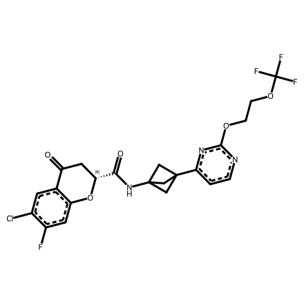 O=C1C[C@H](C(=O)NC23CC(c4ccnc(OCCOC(F)(F)F)n4)(C2)C3)Oc2cc(F)c(Cl)cc21